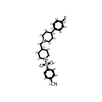 N#Cc1ccc(S(=O)(=O)N2CCC(CN3CCC(c4ccc(F)cc4)CC3)CC2)cc1